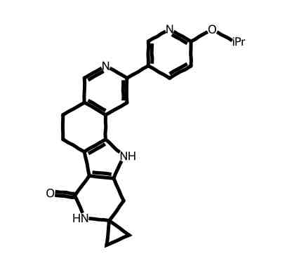 CC(C)Oc1ccc(-c2cc3c(cn2)CCc2c-3[nH]c3c2C(=O)NC2(CC2)C3)cn1